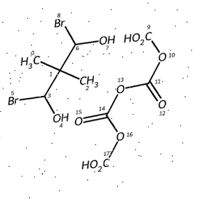 CC(C)(C(O)Br)C(O)Br.O=C(O)OC(=O)OC(=O)OC(=O)O